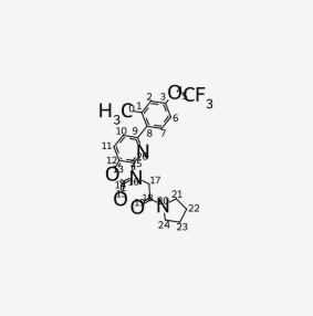 Cc1cc(OC(F)(F)F)ccc1-c1ccc2oc(=O)n(CC(=O)N3CCCC3)c2n1